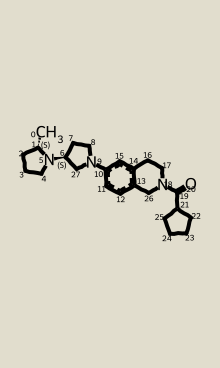 C[C@H]1CCCN1[C@H]1CCN(c2ccc3c(c2)CCN(C(=O)C2CCCC2)C3)C1